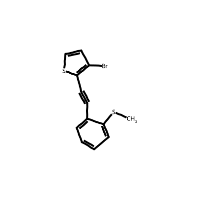 CSc1ccccc1C#Cc1sccc1Br